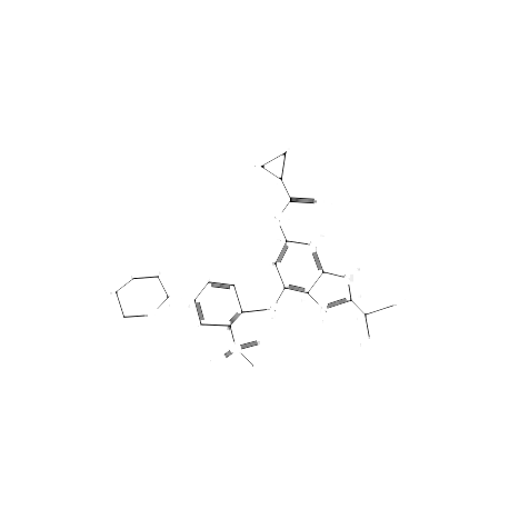 CS(=O)(=O)c1cc([C@H]2CCCCO2)ccc1Nc1cc(NC(=O)C2CC2)nc2[nH]c(C(F)F)nc12